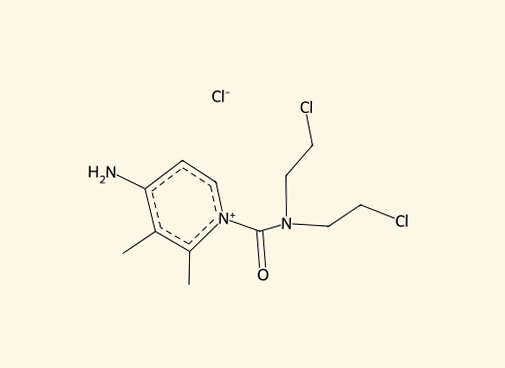 Cc1c(N)cc[n+](C(=O)N(CCCl)CCCl)c1C.[Cl-]